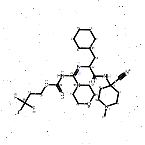 CN1CCC(C#N)(NC(=O)C(CC2CCCCC2)/N=C(/NC(=O)OCCC(F)(F)F)N2CCOCC2)CC1